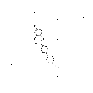 CC1CCC(c2ccc(C(=O)Oc3ccc(F)cc3F)cc2)CC1